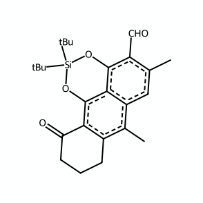 Cc1cc2c(C)c3c(c4c2c(c1C=O)O[Si](C(C)(C)C)(C(C)(C)C)O4)C(=O)CCC3